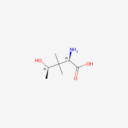 C[C@@H](O)C(C)(C)[C@@H](N)C(=O)O